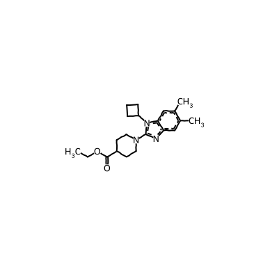 CCOC(=O)C1CCN(c2nc3cc(C)c(C)cc3n2C2CCC2)CC1